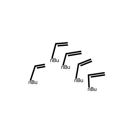 C=CCCCC.C=CCCCC.C=CCCCC.C=CCCCC.C=CCCCC